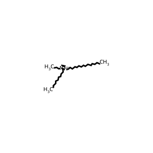 CCCCCCCCCCCCCCCC[n+]1ccn(CCCC)c1CCCCCCCCCC